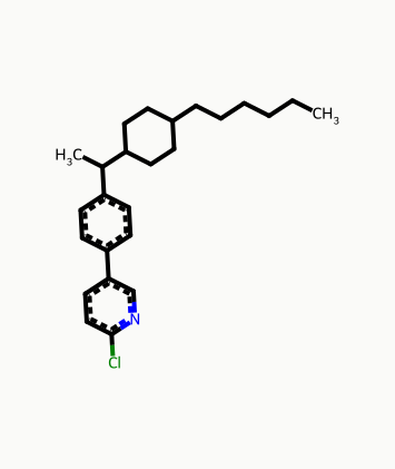 CCCCCCC1CCC(C(C)c2ccc(-c3ccc(Cl)nc3)cc2)CC1